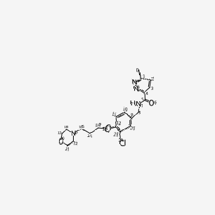 Cc1ccc(C(=O)NCc2ccc(OCCCN3CCOCC3)c(Cl)c2)nn1